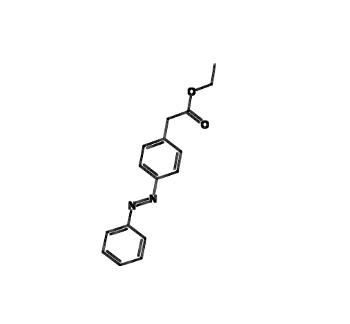 CCOC(=O)Cc1ccc(/N=N/c2ccccc2)cc1